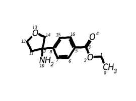 CCOC(=O)c1ccc(C2(N)CCOC2)cc1